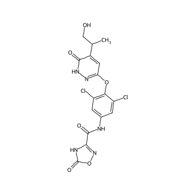 CC(CO)c1cc(Oc2c(Cl)cc(NC(=O)c3noc(=O)[nH]3)cc2Cl)n[nH]c1=O